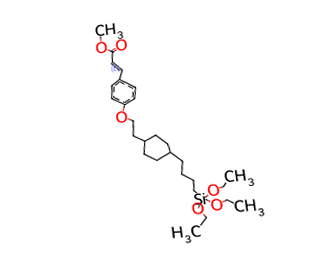 CCO[Si](CCCCC1CCC(CCOc2ccc(/C=C/C(=O)OC)cc2)CC1)(OCC)OCC